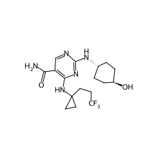 NC(=O)c1cnc(N[C@H]2CC[C@H](O)CC2)nc1NC1(CCC(F)(F)F)CC1